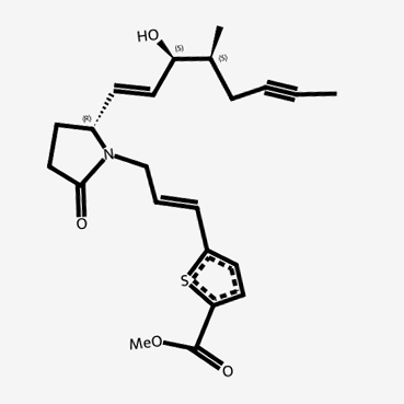 CC#CC[C@H](C)[C@H](O)C=C[C@H]1CCC(=O)N1CC=Cc1ccc(C(=O)OC)s1